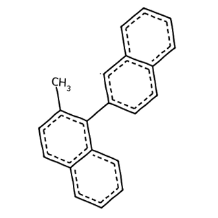 Cc1ccc2ccccc2c1-c1[c]c2ccccc2cc1